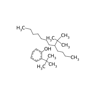 CC(C)(C)c1ccccc1O.CCCCCCCC(CCCC)C(C)(C)C